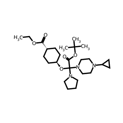 CCOC(=O)[C@H]1CC[C@H](OC(C(=O)OC(C)(C)C)(N2CCCC2)N2CCN(C3CC3)CC2)CC1